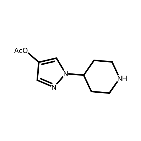 CC(=O)Oc1cnn(C2CCNCC2)c1